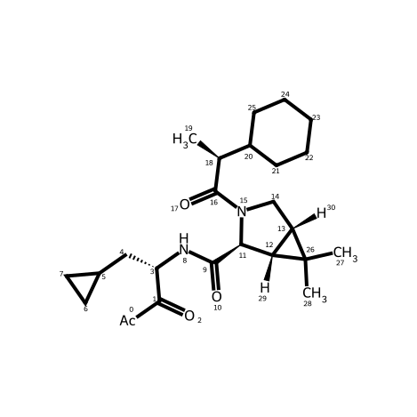 CC(=O)C(=O)[C@H](CC1CC1)NC(=O)[C@@H]1[C@@H]2[C@H](CN1C(=O)[C@@H](C)C1CCCCC1)C2(C)C